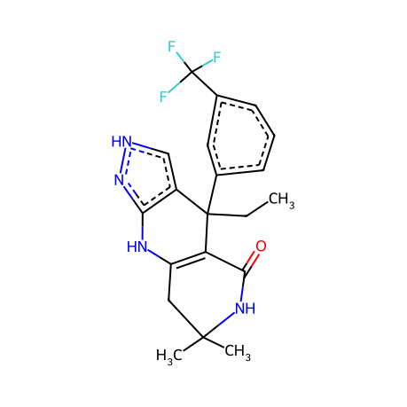 CCC1(c2cccc(C(F)(F)F)c2)C2=C(CC(C)(C)NC2=O)Nc2n[nH]cc21